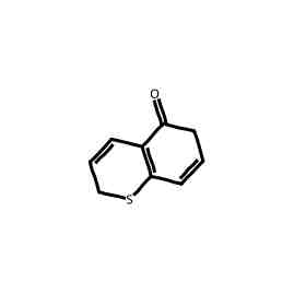 O=C1CC=CC2=C1C=CCS2